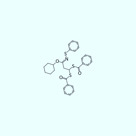 O=C(SC(C/C(=N/Sc1ccccc1)OC1CCCCC1)SC(=O)c1ccccc1)c1ccccc1